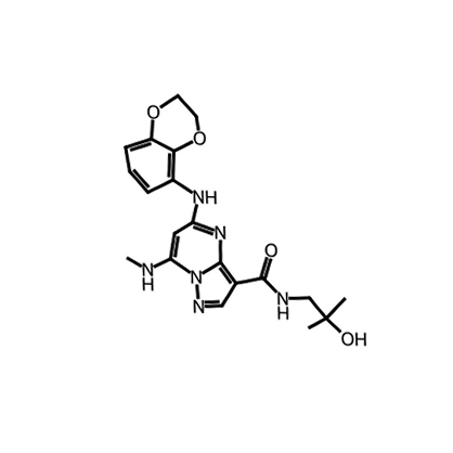 CNc1cc(Nc2cccc3c2OCCO3)nc2c(C(=O)NCC(C)(C)O)cnn12